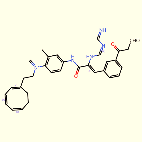 C=[N+](CC/C1=C/C=C\C=C/CC1)c1ccc(NC(=O)/C(=C/c2cccc(C(=O)CC=O)c2)N/C=N\C=N)cc1C